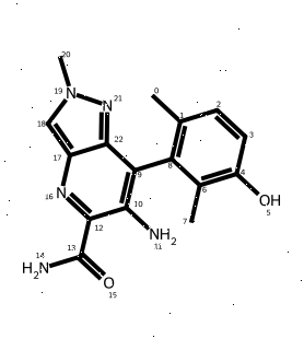 Cc1ccc(O)c(C)c1-c1c(N)c(C(N)=O)nc2cn(C)nc12